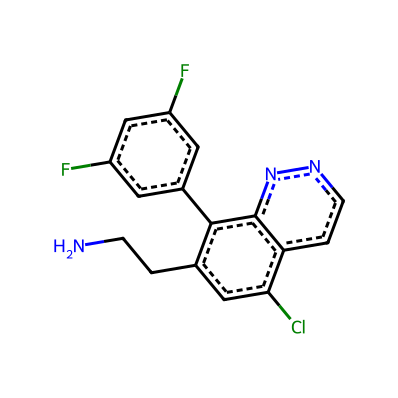 NCCc1cc(Cl)c2ccnnc2c1-c1cc(F)cc(F)c1